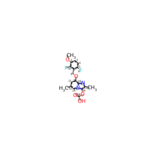 COc1ccc(F)c(COc2cc(C)cn3c(OC(=O)O)c(C)nc23)c1F